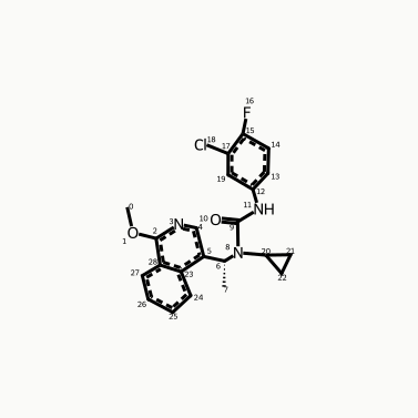 COc1ncc([C@@H](C)N(C(=O)Nc2ccc(F)c(Cl)c2)C2CC2)c2ccccc12